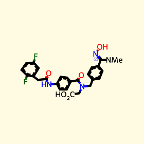 CN/C(=N\O)c1ccc(CN(CC(=O)O)C(=O)c2ccc(NC(=O)Cc3cc(F)ccc3F)cc2)cc1